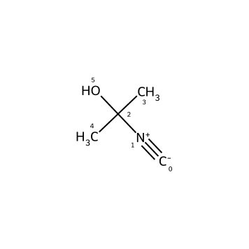 [C-]#[N+]C(C)(C)O